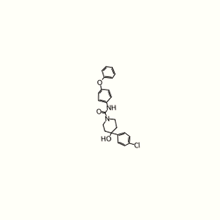 O=C(Nc1ccc(Oc2ccccc2)cc1)N1CCC(O)(c2ccc(Cl)cc2)CC1